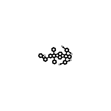 N#Cc1ccc(C#N)c(-c2c3c(c(-c4cc(C#N)ccc4C#N)c4ccccc24)-c2ccc4c5c(ccc-3c25)-c2c-4c(-c3ccccc3)c3cc(-c4cccc5c4oc4ccccc45)ccc3c2-c2ccccc2)c1